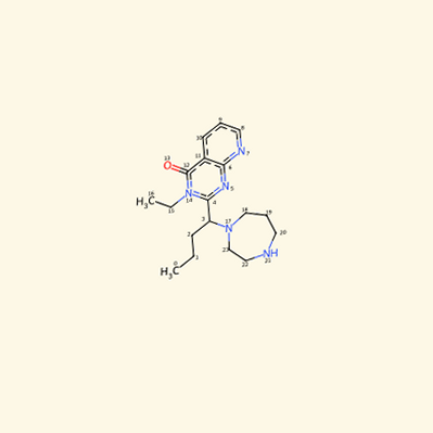 CCCC(c1nc2ncccc2c(=O)n1CC)N1CCCNCC1